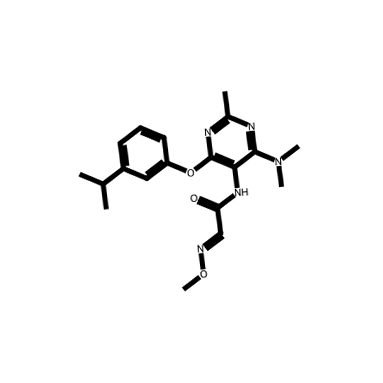 CON=CC(=O)Nc1c(Oc2cccc(C(C)C)c2)nc(C)nc1N(C)C